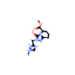 COC(=O)C1CCCc2nn(Cc3ncn(C)n3)c(=O)n21